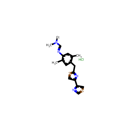 CCN(C)C=Nc1cc(C)c(Cc2nc(-c3cscn3)cs2)cc1C.Cl